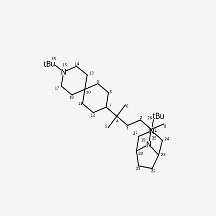 CC(CCC(C)(C)C1CCC2(CC1)CCN(C(C)(C)C)CC2)N1C2CCC1CN(C(C)(C)C)C2